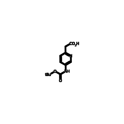 CC(C)(C)OC(=O)Nc1ccc(CC(=O)O)nc1